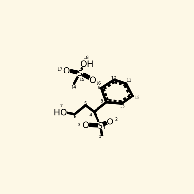 CS(=O)(=O)C(CCO)c1ccccc1.CS(=O)(=O)O